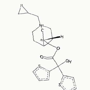 O=C(O[C@H]1C[N+]2(CC3CC3)CCC1CC2)C(O)(c1cccs1)c1cccs1